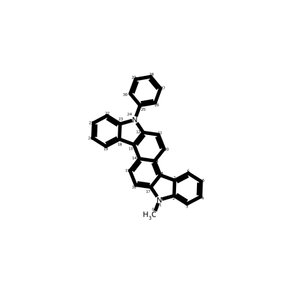 Cn1c2ccccc2c2c3ccc4c(c3ccc21)c1ccccc1n4-c1ccccc1